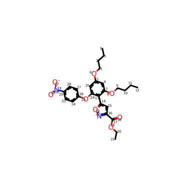 CCCCOc1cc(OCCCC)c(-c2cc(C(=O)OCC)no2)c(Oc2ccc([N+](=O)[O-])cc2)c1